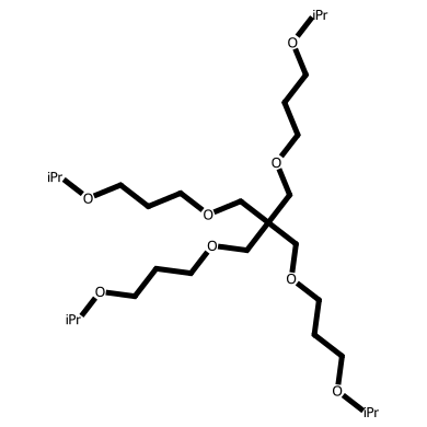 CC(C)OCCCOCC(COCCCOC(C)C)(COCCCOC(C)C)COCCCOC(C)C